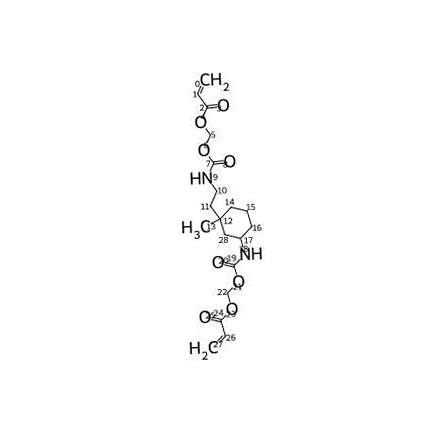 C=CC(=O)OCOC(=O)NCCC1(C)CCCC(NC(=O)OCOC(=O)C=C)C1